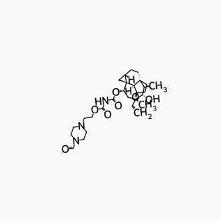 C=C[C@]1(C)C[C@@H](OC(=O)NC(=O)OCCN2CCN(C=O)CC2)[C@]23C[C@@H]2CC[C@]2(CCC(=O)[C@H]23)[C@@H](C)[C@@H]1O